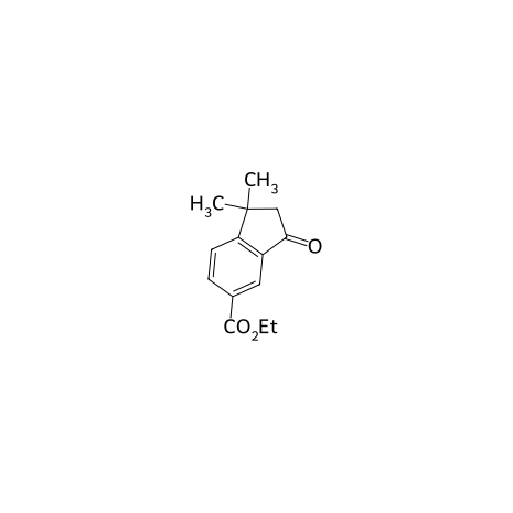 CCOC(=O)c1ccc2c(c1)C(=O)CC2(C)C